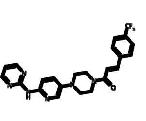 O=C(/C=C/c1ccc(C(F)(F)F)cc1)N1CCN(c2ccc(Nc3ncccn3)nc2)CC1